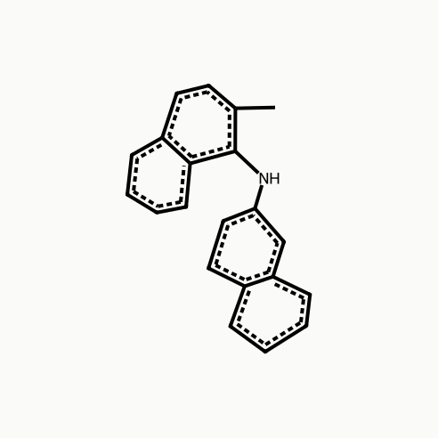 Cc1ccc2ccccc2c1Nc1ccc2ccccc2c1